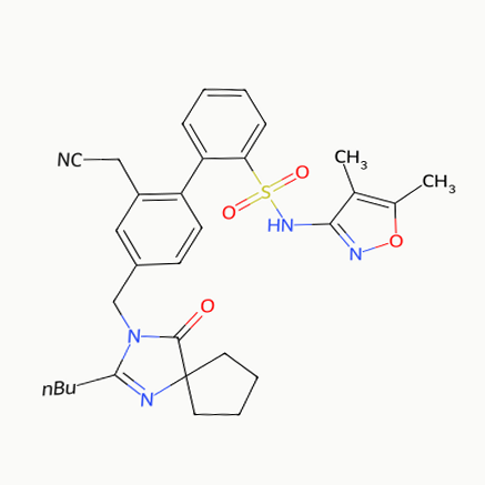 CCCCC1=NC2(CCCC2)C(=O)N1Cc1ccc(-c2ccccc2S(=O)(=O)Nc2noc(C)c2C)c(CC#N)c1